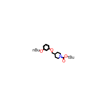 CCCCOc1cccc(OCC2CCN(C(=O)OC(C)(C)C)CC2)c1